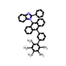 Bc1c(B)c(B)c(-c2cccc(-c3c4ccccc4c(-n4c(-c5ccccc5)nc5ccccc54)c4ccccc34)c2)c(B)c1B